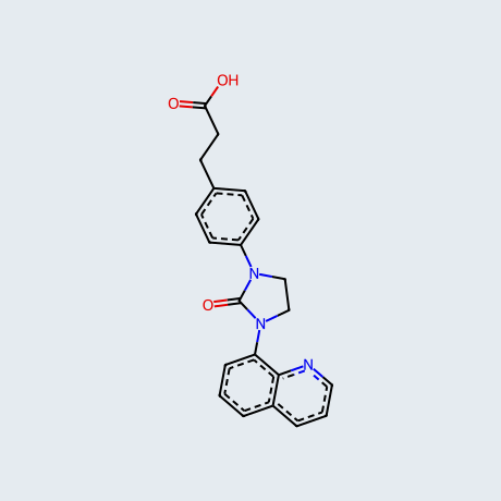 O=C(O)CCc1ccc(N2CCN(c3cccc4cccnc34)C2=O)cc1